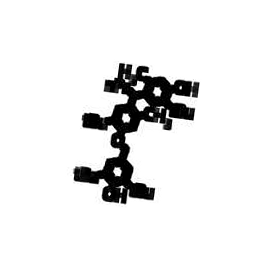 CCCC(c1cc(C(C)(C)C)c(O)cc1C)c1cc(C(C)(C)C)c(OCc2cc(C(C)(C)C)c(O)c(C(C)(C)C)c2)cc1C